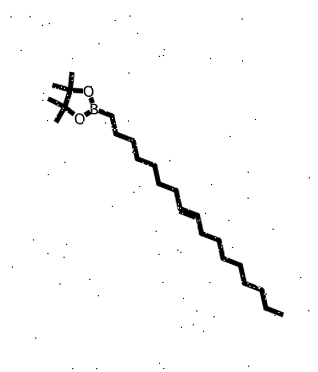 CCCCCCCCC=CCCCCCCCB1OC(C)(C)C(C)(C)O1